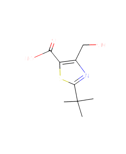 CC(C)(C)c1nc(CO)c(C(=O)O)s1